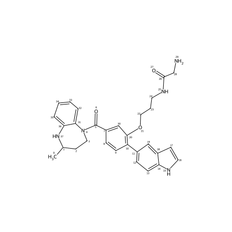 CC1CCN(C(=O)c2ccc(-c3ccc4[nH]ccc4c3)c(OCCCNC(=O)CN)c2)c2ccccc2N1